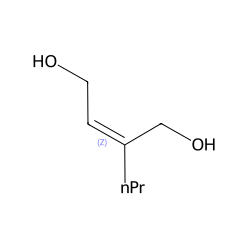 CCC/C(=C/CO)CO